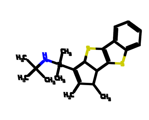 CC1=C([Si](C)(C)NC(C)(C)C)C2Sc3c(sc4ccccc34)C2C1C